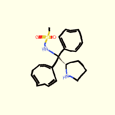 CS(=O)(=O)NC(c1ccccc1)(c1ccccc1)[C@@H]1CCCN1